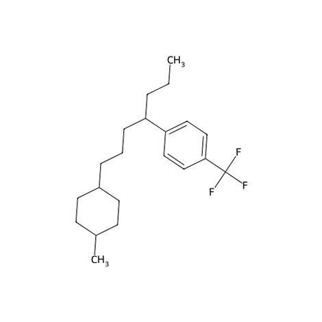 CCCC(CCCC1CCC(C)CC1)c1ccc(C(F)(F)F)cc1